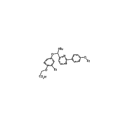 CCCCC(Oc1ccc(OCC(=O)O)c(CC)c1)c1cccc(-c2ccc(OCC)cc2)n1